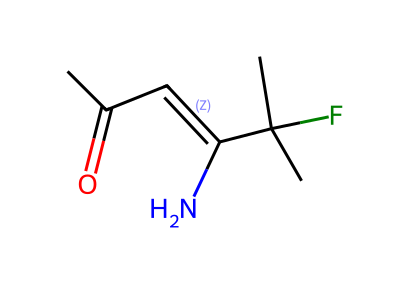 CC(=O)/C=C(\N)C(C)(C)F